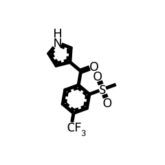 CS(=O)(=O)c1cc(C(F)(F)F)ccc1C(=O)c1cc[nH]c1